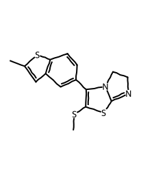 CSC1=C(c2ccc3sc(C)cc3c2)N2CCN=C2S1